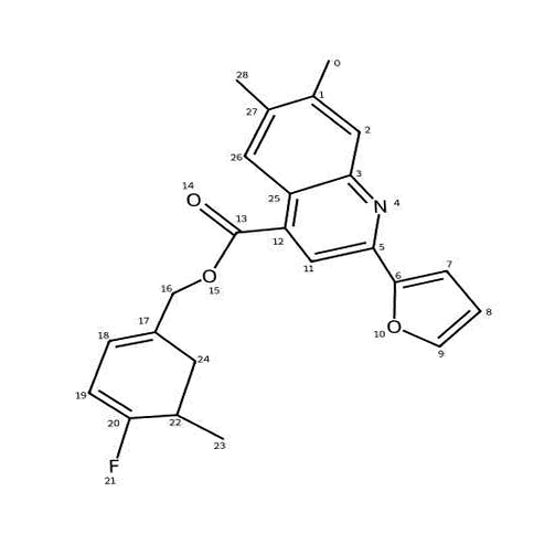 Cc1cc2nc(-c3ccco3)cc(C(=O)OCC3=CC=C(F)C(C)C3)c2cc1C